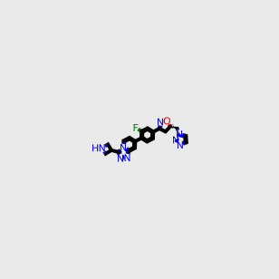 Fc1cc(C2=NO[C@@H](Cn3ccnn3)C2)ccc1-c1ccn2c(C3CNC3)nnc2c1